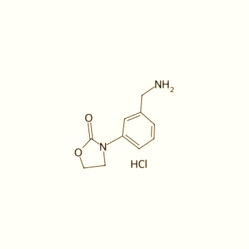 Cl.NCc1cccc(N2CCOC2=O)c1